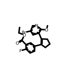 CCOC(=O)c1cc(C2=C(c3cc(Br)cnc3OC)CCC2)ccc1F